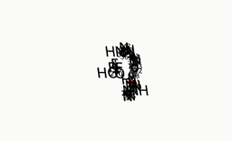 O=C(O)C(F)(F)F.c1nc(-c2cnn([C@H]3CC[C@@H](CSc4cnc(Nc5nnc[nH]5)nc4)CC3)c2)c2cc[nH]c2n1